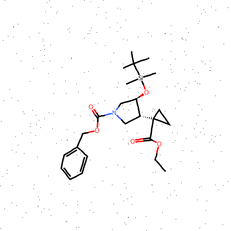 CCOC(=O)C1([C@@H]2CN(C(=O)OCc3ccccc3)C[C@H]2O[Si](C)(C)C(C)(C)C)CC1